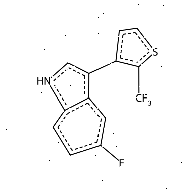 Fc1ccc2[nH]cc(-c3ccsc3C(F)(F)F)c2c1